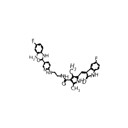 Cc1[nH]c(C=C2C(=O)Nc3ccc(F)cc32)c(C)c1C(=O)NCCNc1ccc(C(=O)Nc2ccc(F)cc2N)cn1